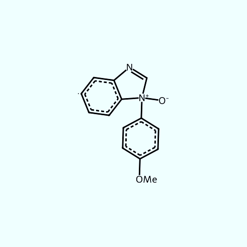 COc1ccc([N+]2([O-])C=Nc3c[c]ccc32)cc1